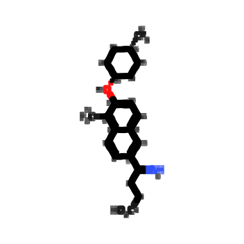 N=C(CCC(=O)O)c1ccc2c(C(F)(F)F)c(O[C@H]3CC[C@@H](C(F)(F)F)CC3)ccc2c1